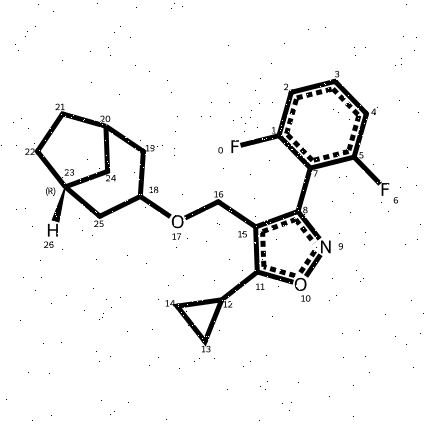 Fc1cccc(F)c1-c1noc(C2CC2)c1COC1CC2CC[C@H](C2)C1